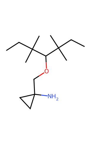 CCC(C)(C)C(OCC1(N)CC1)C(C)(C)CC